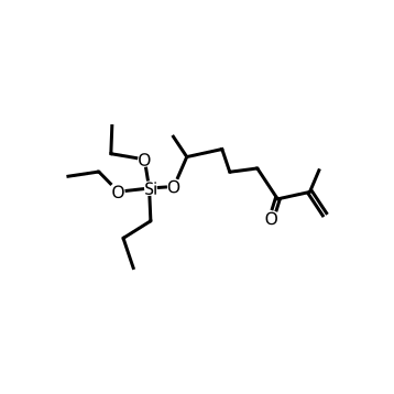 C=C(C)C(=O)CCCC(C)O[Si](CCC)(OCC)OCC